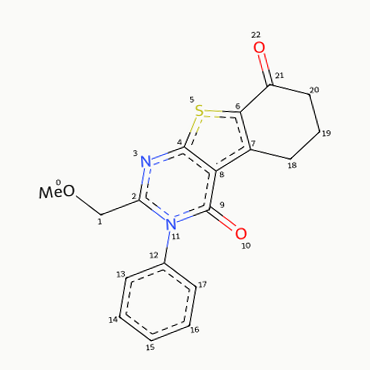 COCc1nc2sc3c(c2c(=O)n1-c1ccccc1)CCCC3=O